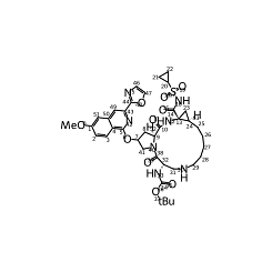 COc1ccc2c(OC3C[C@H]4C(=O)N[C@]5(C(=O)NS(=O)(=O)C6CC6)C[C@H]5CCCCCNC[C@H](NC(=O)OC(C)(C)C)C(=O)N4C3)nc(-c3ncco3)cc2c1